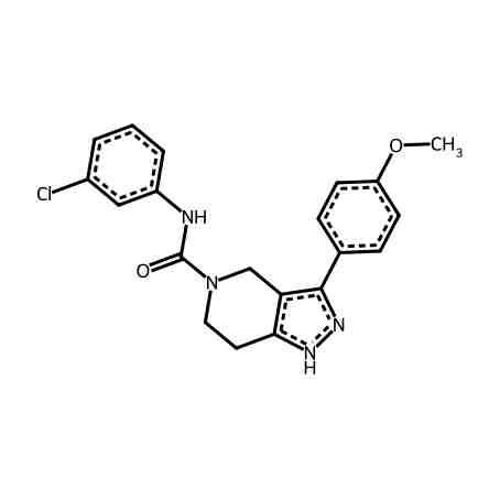 COc1ccc(-c2n[nH]c3c2CN(C(=O)Nc2cccc(Cl)c2)CC3)cc1